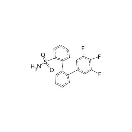 NS(=O)(=O)c1ccccc1-c1ccccc1-c1cc(F)c(F)c(F)c1